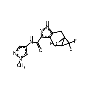 Cn1cc(NC(=O)c2n[nH]c3c2CC2C(F)(F)C2(C)C3)cn1